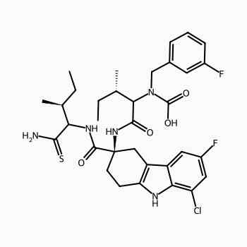 CC[C@H](C)C(NC(=O)[C@@]1(NC(=O)C([C@@H](C)CC)N(Cc2cccc(F)c2)C(=O)O)CCc2[nH]c3c(Cl)cc(F)cc3c2C1)C(N)=S